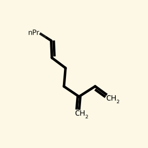 C=CC(=C)CCC=CCCC